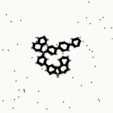 c1ccc(-c2ccc(-c3ccc(N(c4cccc(-c5ccc6oc7ccc8ccccc8c7c6c5)c4)c4cccc5ccccc45)cc3)cc2)cc1